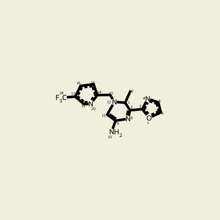 CC1C(c2ncco2)=NC(N)=CN1Cc1ccc(C(F)(F)F)cn1